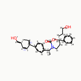 C/C=C(\C=C/C=CO)c1ccc([C@H](C)N2CC[C@](CCCO)(c3ccccc3)OC2=O)cc1